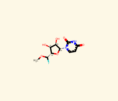 COC(F)[C@H]1O[C@@H](n2ccc(=O)[nH]c2=O)[C@H](O)[C@@H]1O